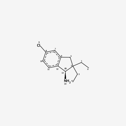 CCC1(CC)Cc2cc(Cl)ccc2[C@@H]1N